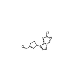 O=CC1=CC(n2ccc3cnc(Cl)nc32)CC1